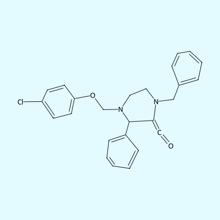 O=C=C1C(c2ccccc2)N(COc2ccc(Cl)cc2)CCN1Cc1ccccc1